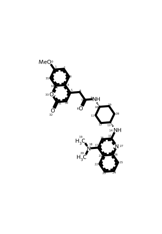 COc1ccc2c(CC(=O)N[C@H]3CC[C@@H](Nc4cc(N(C)C)c5ccccc5n4)CC3)cc(=O)oc2c1